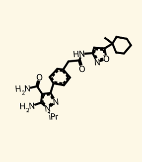 CC(C)n1nc(-c2ccc(CC(=O)Nc3cc(C4(C)CCCCC4)on3)cc2)c(C(N)=O)c1N